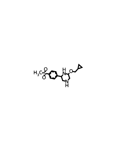 CS(=O)(=O)c1ccc(C2CNCC(OCC3CC3)N2)cc1